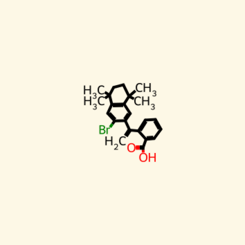 C=C(c1cc2c(cc1Br)C(C)(C)CCC2(C)C)c1ccccc1C(=O)O